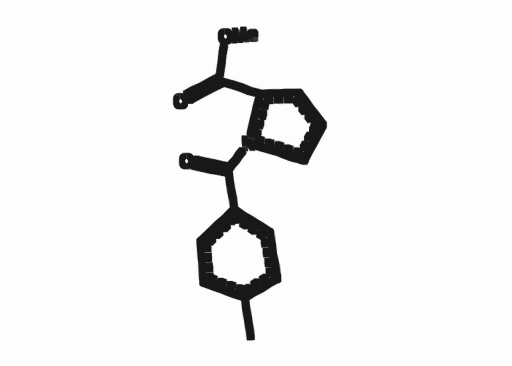 COC(=O)c1cccn1C(=O)c1ccc(C)cc1